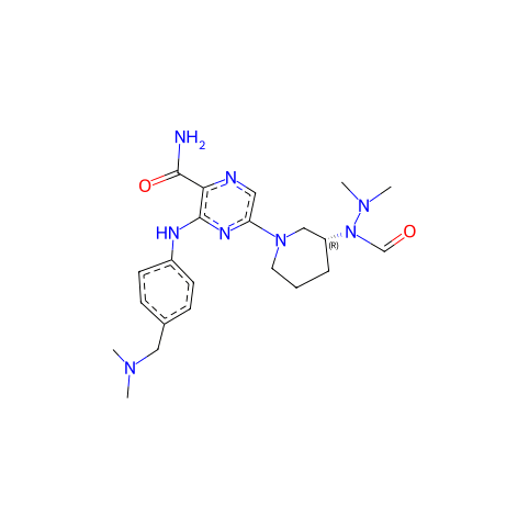 CN(C)Cc1ccc(Nc2nc(N3CCC[C@@H](N(C=O)N(C)C)C3)cnc2C(N)=O)cc1